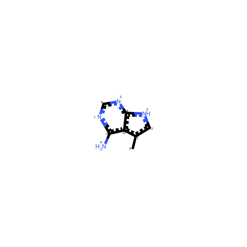 Cc1c[nH]c2ncnc(N)c12